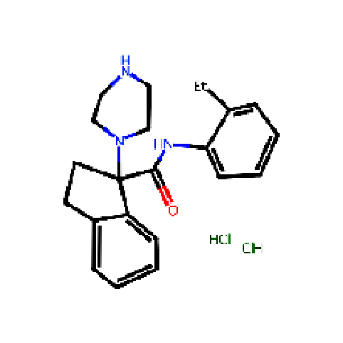 CCc1ccccc1NC(=O)C1(N2CCNCC2)CCc2ccccc21.Cl.Cl